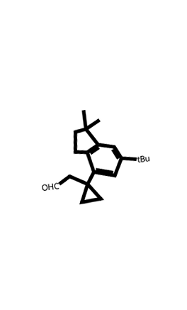 CC(C)(C)c1cc2c(c(C3(CC=O)CC3)c1)CCC2(C)C